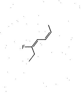 C/C=C\C=C(\F)CC